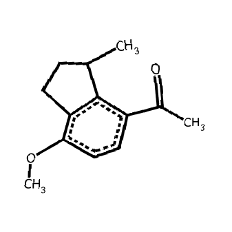 COc1ccc(C(C)=O)c2c1CCC2C